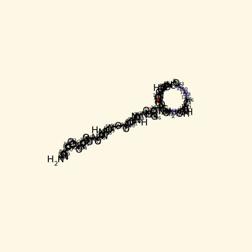 CO[C@H]1C[C@@H]2CC[C@@H](C)[C@@](O)(O2)C(=O)C(=O)N2CCCC[C@H]2C(=O)O[C@H]([C@H](N)C[C@@H]2CC[C@@H](OC(=O)NCc3cnc(N4CCN(C(=O)CCOCCN5CCN(c6ncc(C(=O)NCCS(=O)(=O)c7ccc(C(=O)N8CCOc9ccc(-c%10ccc(N)nc%10)cc9C8)c(C)c7)cn6)CC5)CC4)nc3)[C@H](OC)C2)CC(=O)[C@H](C)/C=C(\C)[C@@H](O)[C@@H](O)C(=O)[C@H](C)C[C@H](C)/C=C/C=C/C=C/1C